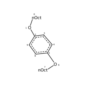 CCCCCCCCOc1[c]cc(OCCCCCCCC)[c]c1